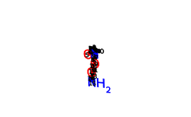 C=C1C=CC(=O)N1CCOCCOCCN